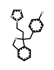 Clc1ccc(CC2(CCn3cncn3)OCc3ccccc32)cc1